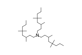 CCCC(C)(C)CC(C)CCN(CCC(C)CC(C)(C)CCC)CCC(C)CC(C)(C)CCC